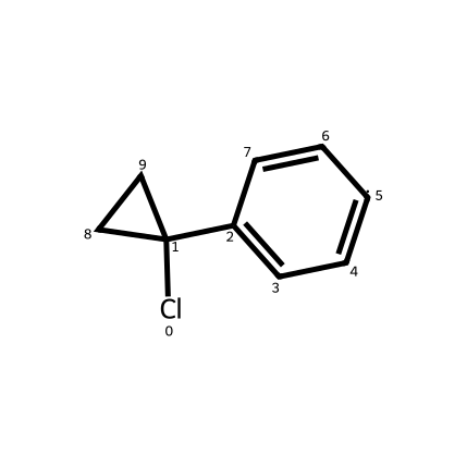 ClC1(c2cc[c]cc2)CC1